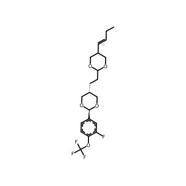 CC/C=C/C1COC(CC[C@H]2CO[C@H](c3ccc(OC(F)(F)F)c(F)c3)OC2)OC1